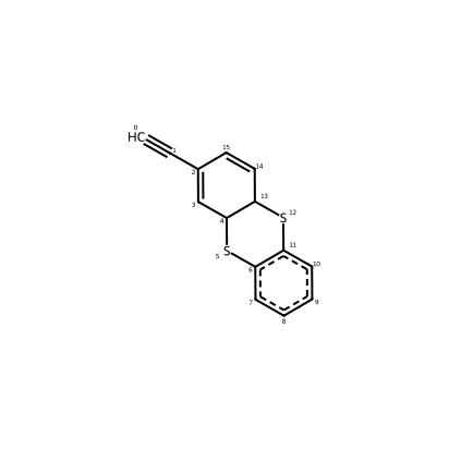 C#CC1=CC2Sc3ccccc3SC2C=C1